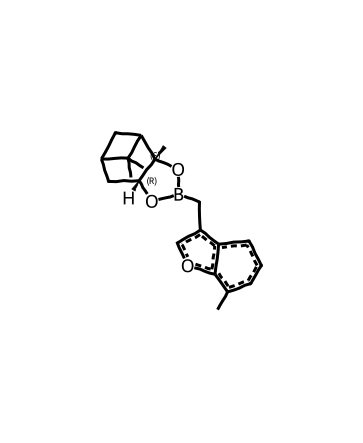 Cc1cccc2c(CB3O[C@@H]4CC5CC(C5(C)C)[C@]4(C)O3)coc12